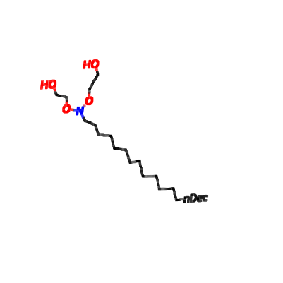 CCCCCCCCCCCCCCCCCCCCCCCN(OCCO)OCCO